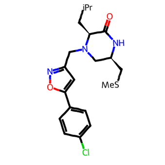 CSC[C@H]1CN(Cc2cc(-c3ccc(Cl)cc3)on2)[C@@H](CC(C)C)C(=O)N1